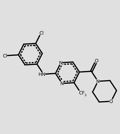 O=C(c1cnc(Nc2cc(Cl)cc(Cl)c2)nc1C(F)(F)F)N1CCOCC1